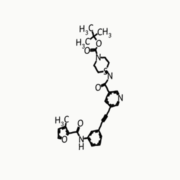 Cc1ccoc1C(=O)Nc1cccc(C#Cc2cncc(C(=O)N=S3CCN(C(=O)OC(C)(C)C)CC3)c2)c1